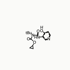 CC(C)(C)N(C(=O)Nc1cnccc1O)C(=O)OC1CC1